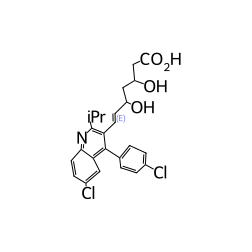 CC(C)c1nc2ccc(Cl)cc2c(-c2ccc(Cl)cc2)c1/C=C/C(O)CC(O)CC(=O)O